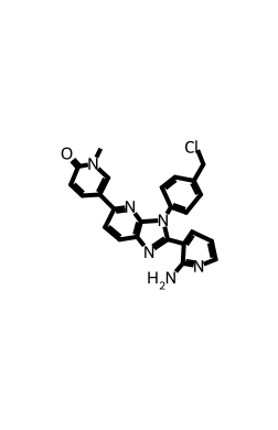 Cn1cc(-c2ccc3nc(-c4cccnc4N)n(-c4ccc(CCl)cc4)c3n2)ccc1=O